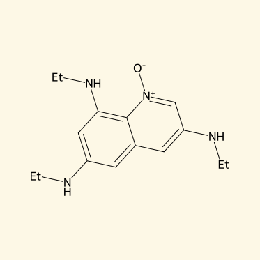 CCNc1cc(NCC)c2c(c1)cc(NCC)c[n+]2[O-]